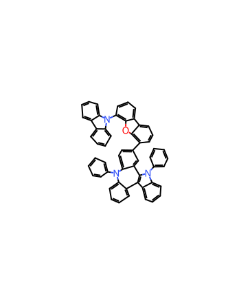 c1ccc(N2c3ccccc3-c3c(n(-c4ccccc4)c4ccccc34)-c3cc(-c4cccc5c4oc4c(-n6c7ccccc7c7ccccc76)cccc45)ccc32)cc1